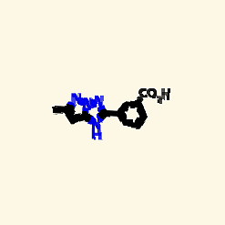 Cc1cc2[nH]c(-c3cccc(C(=O)O)c3)nn2n1